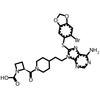 Nc1ncnc2c1nc(Sc1cc3c(cc1Br)OCO3)n2CCC1CCN(C(=O)[C@@H]2CCN2C(=O)O)CC1